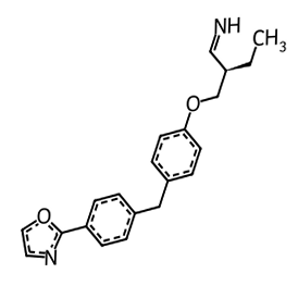 CC[C@H](C=N)COc1ccc(Cc2ccc(-c3ncco3)cc2)cc1